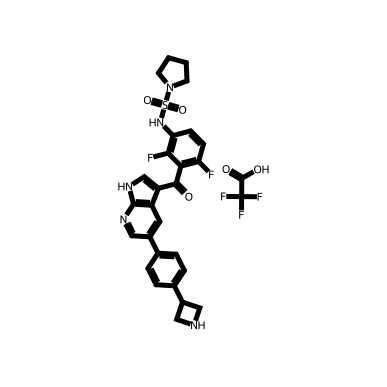 O=C(O)C(F)(F)F.O=C(c1c(F)ccc(NS(=O)(=O)N2CCCC2)c1F)c1c[nH]c2ncc(-c3ccc(C4CNC4)cc3)cc12